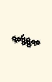 C=C/C=c1\c(=C(/C)N2c3ccccc3B3c4ccccc4N(c4ccc5c(c4)oc4ccccc45)c4cccc2c43)oc2cc3c(cc12)-c1ccccc1C3(C)C